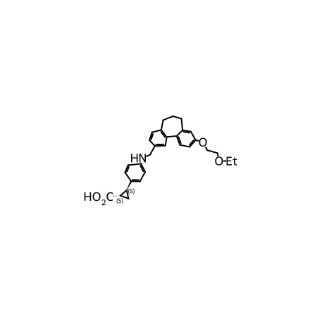 CCOCCOc1ccc2c(c1)CCCc1ccc(CNc3ccc([C@H]4C[C@@H]4C(=O)O)cc3)cc1-2